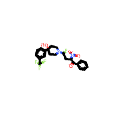 O=C(c1ccccc1)C(CC(F)N1CCC(O)(c2cccc(C(F)(F)F)c2)CC1)[N+](=O)[O-]